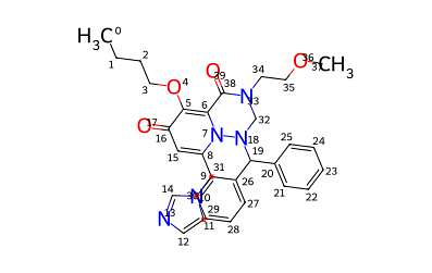 CCCCOc1c2n(c(Cn3ccnc3)cc1=O)N(C(c1ccccc1)c1ccccc1)CN(CCOC)C2=O